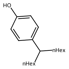 CCCCCCC(CCCCCC)c1ccc(O)cc1